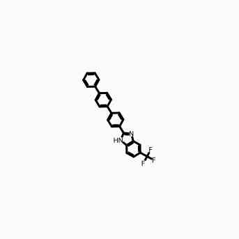 FC(F)(F)c1ccc2[nH]c(-c3ccc(-c4ccc(-c5ccccc5)cc4)cc3)nc2c1